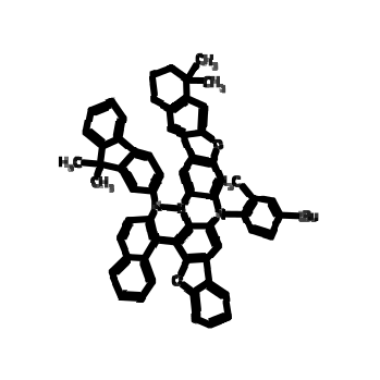 Cc1cc(C(C)(C)C)ccc1N1c2cc3oc4cc5c(cc4c3cc2B2c3c1cc1c(oc4ccccc41)c3-c1c(ccc3ccccc13)N2c1ccc2c(c1)C(C)(C)c1ccccc1-2)CCCC5(C)C